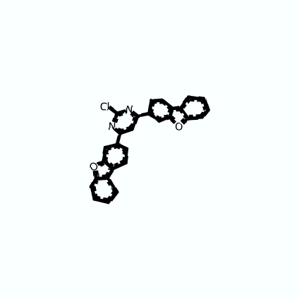 Clc1nc(-c2ccc3c(c2)oc2ccccc23)cc(-c2ccc3c(c2)oc2ccccc23)n1